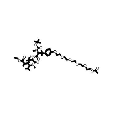 CCOC(=O)C(C)=CC(C(C)C)N(C)C(=O)C(NC(=O)C(N(C)C(=O)OC(C)(C)C)C(C)(C)c1ccc(OCCOCCOCCOCCOCCSC(C)=O)cc1)C(C)(C)C